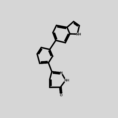 O=c1ccc(-c2[c]c(-c3ccc4cc[nH]c4c3)ccc2)n[nH]1